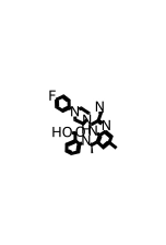 Cc1cc([C@@H](C)Nc2ccccc2C(=O)O)c2nc(N3CCN(c4ccc(F)cc4)CC3)c(C#N)nc2c1